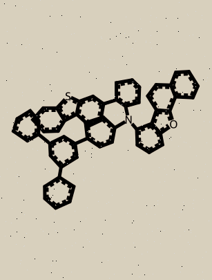 c1ccc(-c2cc(-c3ccccc3)cc(-c3ccc(N(c4ccccc4-c4ccc5c(c4)sc4ccccc45)c4cccc5oc6c7ccccc7ccc6c45)cc3)c2)cc1